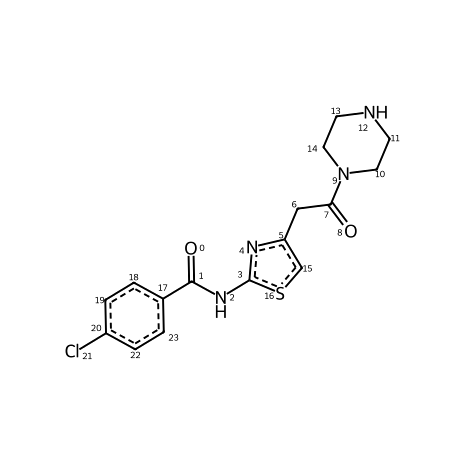 O=C(Nc1nc(CC(=O)N2CCNCC2)cs1)c1ccc(Cl)cc1